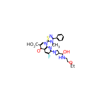 CCOCCNC(O)C1CN(c2nc3c(cc2F)c(=O)c(C(=O)O)cn3[C@H]2SN=C(c3ccccc3)N2C)C1